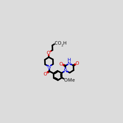 COc1ccc(C(=O)N2CCC(OCCC(=O)O)CC2)cc1N1CCC(=O)NC1=O